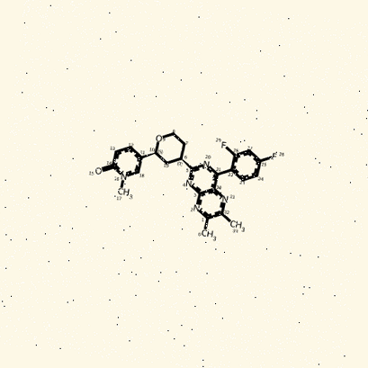 Cc1nc2nc([C@@H]3CCO[C@H](c4ccc(=O)n(C)c4)C3)nc(-c3ccc(F)cc3F)c2nc1C